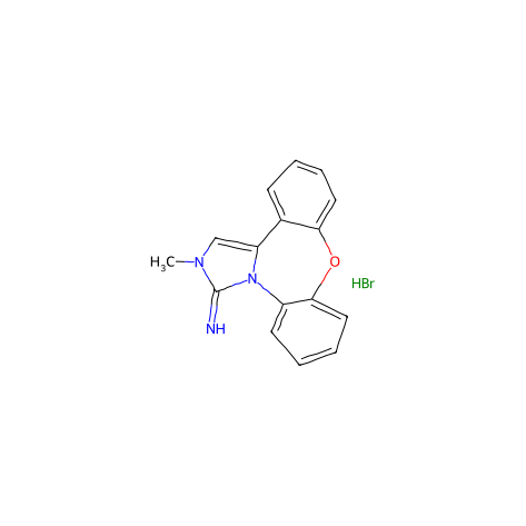 Br.Cn1cc2n(c1=N)-c1ccccc1Oc1ccccc1-2